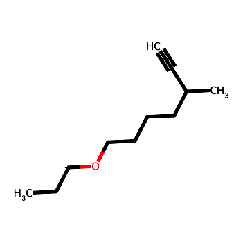 C#CC(C)CCCCO[CH]CC